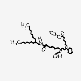 CCCCCCCCC(CCCCCCCC)CNC(=O)CCCCCN(CCO)CCN(CCCCCC(=O)OCl)C1CCCCC1